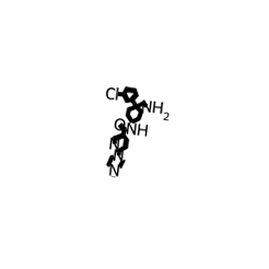 CN1CCN(c2ccc(C(=O)NC3CCC(CN)(c4cccc(Cl)c4)CC3)cn2)CC1